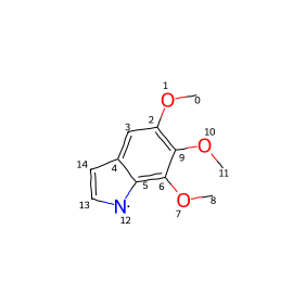 COc1cc2c(c(OC)c1OC)[N]C=C2